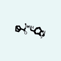 CN(NCc1ccc2ncsc2c1)C(=O)C12CCC(C1)C2